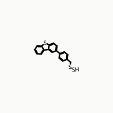 SSCc1ccc(-c2ccc3sc4ccccc4c3c2)cc1